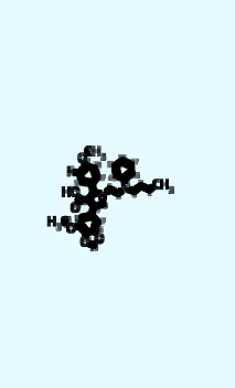 CCCCN(CCN1CC(c2cc(OC)c3c(c2)OCO3)C(C(=O)O)C1c1ccc(OC)c(F)c1)c1ccccc1